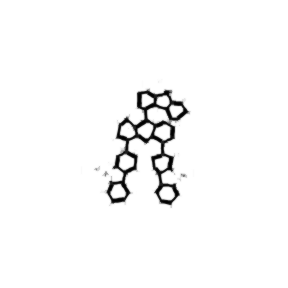 Cn1c2ccccc2c2ccc(-c3cccc4c(-c5cccc6c5-c5ccccc5C6(C)C)c5cccc(-c6ccc7c8ccccc8n(C)c7c6)c5cc34)cc21